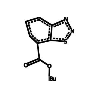 CCC(C)OC(=O)c1cccc2nnsc12